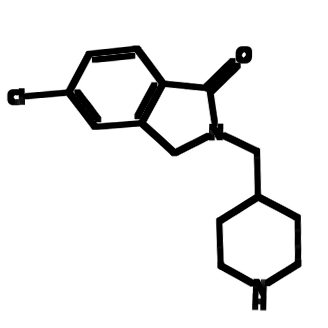 O=C1c2ccc(Cl)cc2CN1CC1CCNCC1